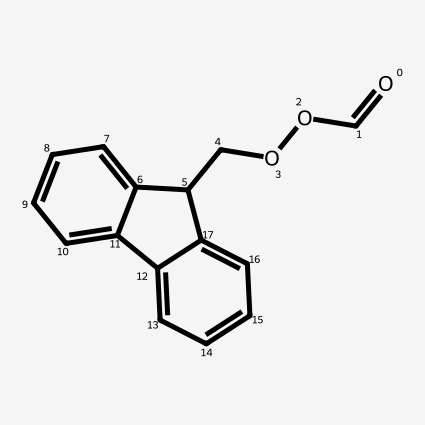 O=COOCC1c2ccccc2-c2ccccc21